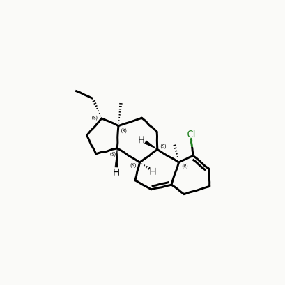 CC[C@H]1CC[C@H]2[C@@H]3CC=C4CCC=C(Cl)[C@]4(C)[C@H]3CC[C@]12C